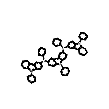 C1=Cc2c(n(-c3ccccc3)c3ccc(N(c4ccccc4)c4ccc5c(c4)c4cc(N(c6ccccc6)c6ccc7c(c6)c6ccccc6n7-c6ccccc6)ccc4n5-c4ccccc4)cc23)CC1